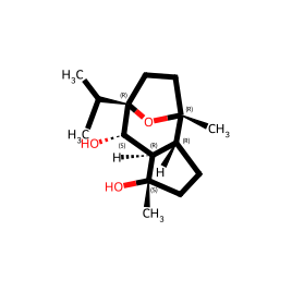 CC(C)[C@@]12CC[C@@](C)(O1)[C@@H]1CC[C@](C)(O)[C@H]1[C@@H]2O